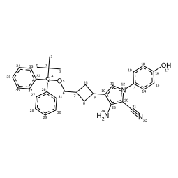 CC(C)(C)[Si](OCC1CC(c2cn(-c3ccc(O)cc3)c(C#N)c2N)C1)(c1ccccc1)c1ccccc1